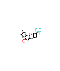 CC1=C(Cc2ccc(C(F)(F)F)cc2)C(=O)c2cc(C)c(C)cc2C1=O